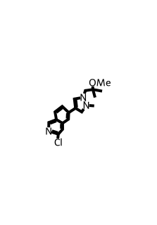 COC(C)(C)CN1C=C(c2ccc3cnc(Cl)cc3c2)CN1C